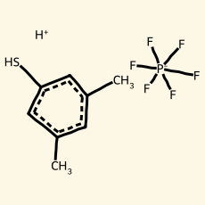 Cc1cc(C)cc(S)c1.F[P-](F)(F)(F)(F)F.[H+]